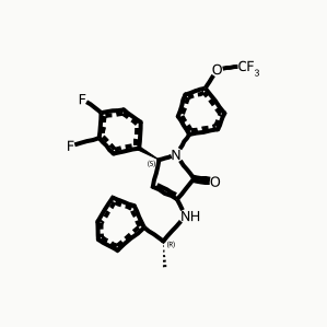 C[C@@H](NC1=C[C@@H](c2ccc(F)c(F)c2)N(c2ccc(OC(F)(F)F)cc2)C1=O)c1ccccc1